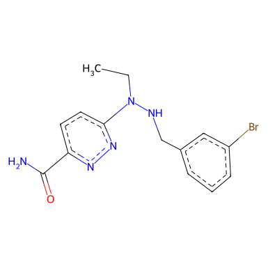 CCN(NCc1cccc(Br)c1)c1ccc(C(N)=O)nn1